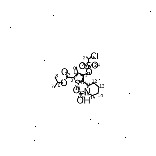 Cc1c(C(=O)OC(C)C)sc(C2CCCCN2C(=O)O)c1OS(=O)(=O)CCl